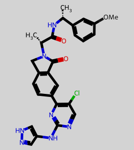 COc1cccc([C@@H](C)NC(=O)[C@@H](C)N2Cc3ccc(-c4nc(Nc5cn[nH]c5)ncc4Cl)cc3C2=O)c1